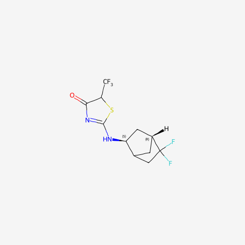 O=C1N=C(N[C@H]2C[C@H]3CC2CC3(F)F)SC1C(F)(F)F